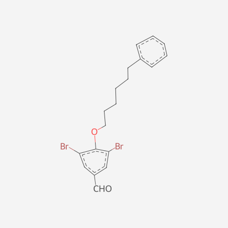 O=Cc1cc(Br)c(OCCCCCCc2ccccc2)c(Br)c1